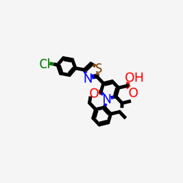 CCc1cccc(CC)c1-n1c(C(C)C)c(C(=O)O)cc(-c2nc(-c3ccc(Cl)cc3)cs2)c1=O